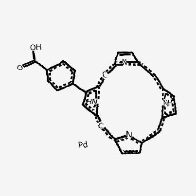 O=C(O)c1ccc(-c2cc3cc4nc(cc5ccc(cc6nc(cc2[nH]3)C=C6)[nH]5)C=C4)cc1.[Pd]